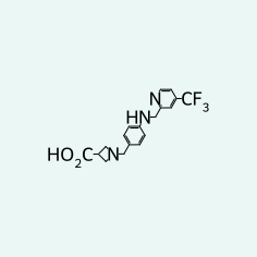 O=C(O)C1CN(Cc2ccc(NCc3cc(C(F)(F)F)ccn3)cc2)C1